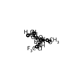 CCc1c(N2CCN(C(=O)c3ncnc(C)c3OCc3ccccc3)CC2)c(=O)n2nc(-c3ccc4c(c3)COC4C)nc2n1CC(=O)Nc1ccc(C(F)(F)F)cc1Cl